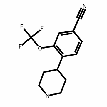 N#Cc1ccc(C2CC[N]CC2)c(OC(F)(F)F)c1